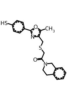 Cc1oc(-c2ccc(S)cc2)nc1CSCC(=O)N1CCc2ccccc2C1